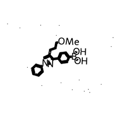 COCCCc1cn(-c2ccccc2)nc1-c1ccc(B(O)O)cc1